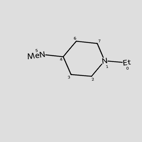 [CH2]CN1CCC(NC)CC1